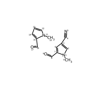 Cn1cc(C#N)cc1C=O.Cn1cccc1C=O